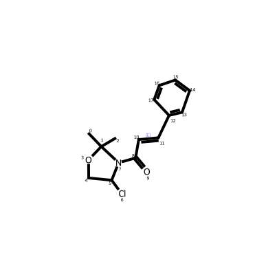 CC1(C)OCC(Cl)N1C(=O)/C=C/c1ccccc1